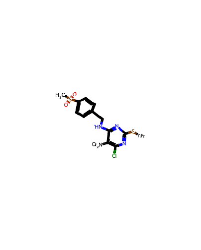 CCCSc1nc(Cl)c([N+](=O)[O-])c(NCc2ccc(S(C)(=O)=O)cc2)n1